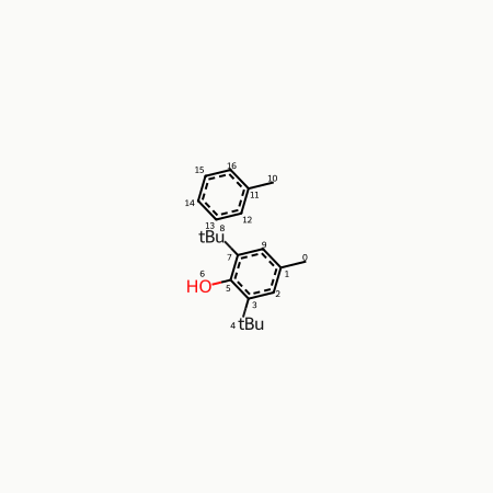 Cc1cc(C(C)(C)C)c(O)c(C(C)(C)C)c1.Cc1ccccc1